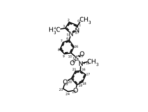 Cc1cc(C)n(-c2cccc(S(=O)(=O)N(C)c3ccc4c(c3)OCCO4)c2)n1